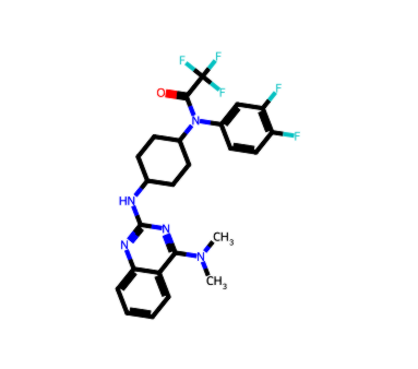 CN(C)c1nc(NC2CCC(N(C(=O)C(F)(F)F)c3ccc(F)c(F)c3)CC2)nc2ccccc12